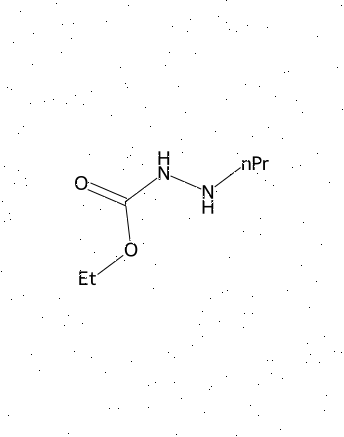 CCCNNC(=O)OCC